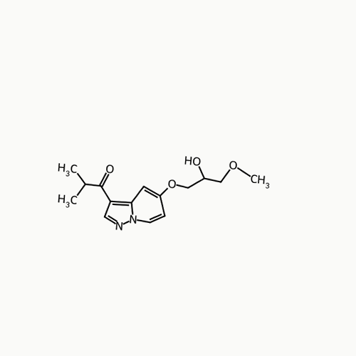 COCC(O)COc1ccn2ncc(C(=O)C(C)C)c2c1